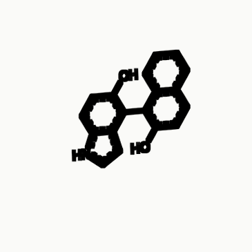 Oc1ccc2ccccc2c1-c1c(O)ccc2[nH]ccc12